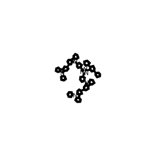 c1ccc(-c2ccc(-c3ccccc3)c(-c3nc(-c4ccc(-n5c6ccccc6c6ccc(-c7ccc8c(c7)c7ccccc7n8-c7ccccc7)cc65)cc4)nc(-c4cccc(-n5c6ccccc6c6ccc(-c7ccc8c(c7)c7ccccc7n8-c7ccccc7)cc65)c4)n3)c2)cc1